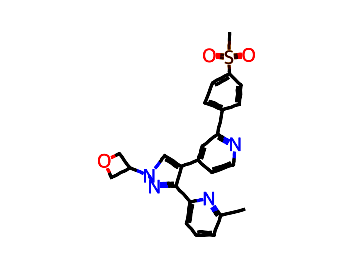 Cc1cccc(-c2nn(C3COC3)cc2-c2ccnc(-c3ccc(S(C)(=O)=O)cc3)c2)n1